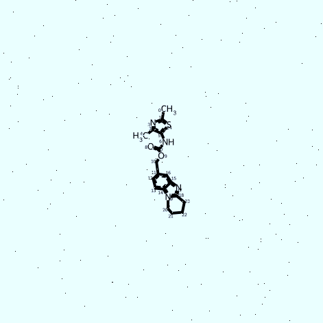 Cc1nc(C)c(NC(=O)OCc2ccc3c(c2)nc2n3CCCC2)s1